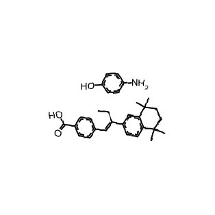 CC/C(=C\c1ccc(C(=O)O)cc1)c1ccc2c(c1)C(C)(C)CCC2(C)C.Nc1ccc(O)cc1